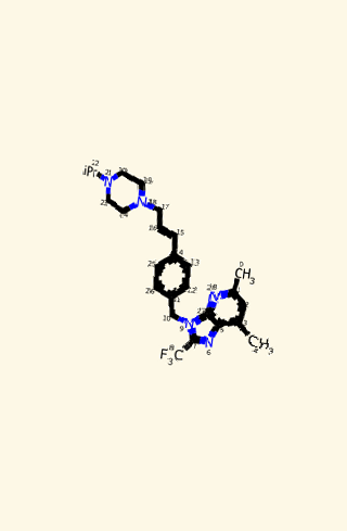 Cc1cc(C)c2nc(C(F)(F)F)n(Cc3ccc(/C=C/CN4CCN(C(C)C)CC4)cc3)c2n1